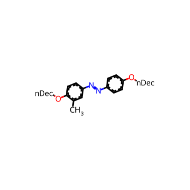 CCCCCCCCCCOc1ccc(/N=N/c2ccc(OCCCCCCCCCC)c(C)c2)cc1